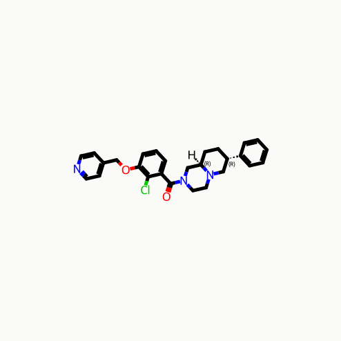 O=C(c1cccc(OCc2ccncc2)c1Cl)N1CCN2C[C@@H](c3ccccc3)CC[C@@H]2C1